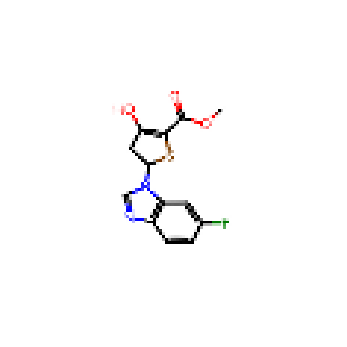 COC(=O)C1=C(O)CC(n2cnc3ccc(F)cc32)S1